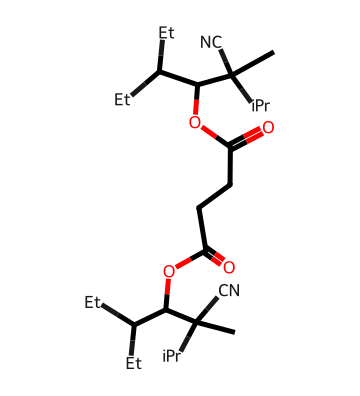 CCC(CC)C(OC(=O)CCC(=O)OC(C(CC)CC)C(C)(C#N)C(C)C)C(C)(C#N)C(C)C